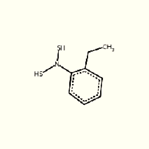 CCc1ccccc1N(S)S